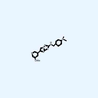 COc1cncc(-c2cn3nc(NCc4ccc(N(C)C)cc4)sc3n2)c1